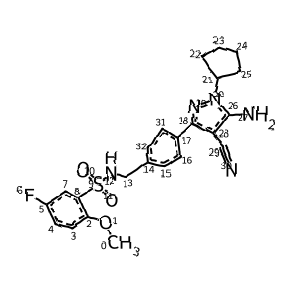 COc1ccc(F)cc1S(=O)(=O)NCc1ccc(-c2nn(C3CCCC3)c(N)c2C#N)cc1